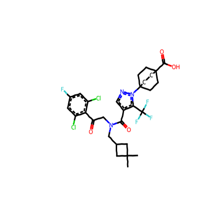 CC1(C)CC(CN(CC(=O)c2c(Cl)cc(F)cc2Cl)C(=O)c2cnn(C34CCC(C(=O)O)(CC3)CC4)c2C(F)(F)F)C1